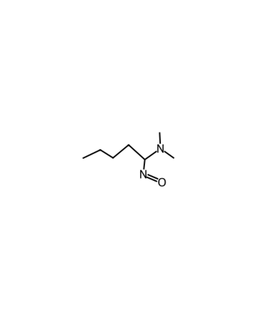 CCCCC(N=O)N(C)C